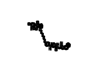 O=C1CCC(N2C(=O)c3cccc(OCCCCCCCCN4CCC(Nc5cc(C(=O)NC[C@H](O)CN6CCc7ccccc7C6)ncn5)CC4)c3C2=O)C(=O)N1